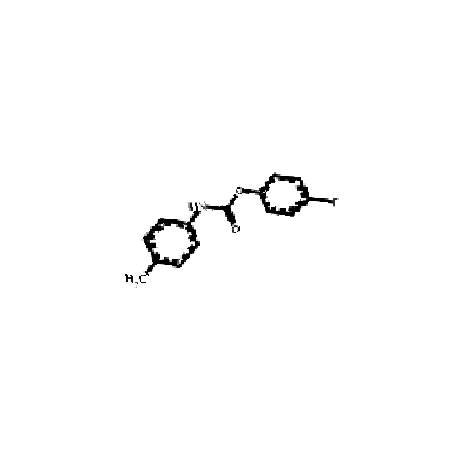 Cc1ccc(NC(=O)Oc2ccc(F)cc2)cc1